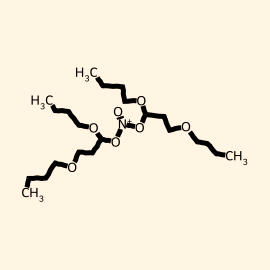 CCCCOCCC(OCCCC)O[N+](=O)OC(CCOCCCC)OCCCC